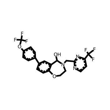 OC1c2cc(-c3ccc(OC(F)(F)F)cc3)ccc2OCCN1Cc1nccc(C(F)(F)F)n1